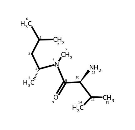 CC(C)C[C@@H](C)N(C)C(=O)[C@@H](N)C(C)C